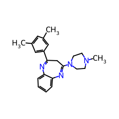 Cc1cc(C)cc(C2=Nc3ccccc3N=C(N3CCN(C)CC3)C2)c1